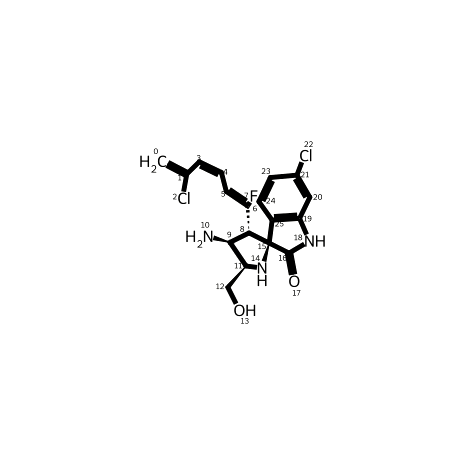 C=C(Cl)/C=C\C=C(/F)[C@H]1[C@H](N)[C@H](CO)N[C@@]12C(=O)Nc1cc(Cl)ccc12